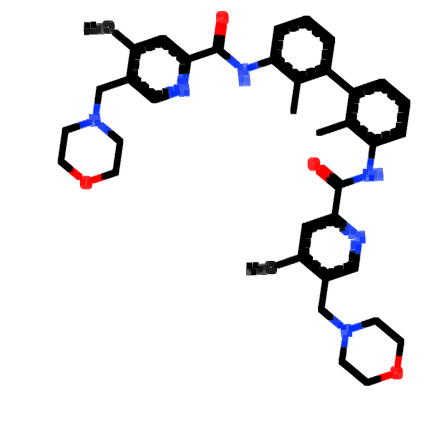 COc1cc(C(=O)Nc2cccc(-c3cccc(NC(=O)c4cc(OC)c(CN5CCOCC5)cn4)c3C)c2C)ncc1CN1CCOCC1